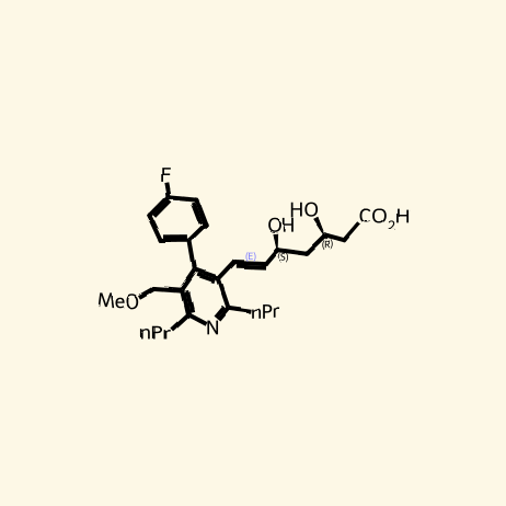 CCCc1nc(CCC)c(COC)c(-c2ccc(F)cc2)c1/C=C/[C@@H](O)C[C@@H](O)CC(=O)O